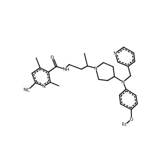 CCOc1ccc(N(Cc2cccnc2)C2CCN(C(C)CCNC(=O)c3c(C)cc(C#N)nc3C)CC2)cc1